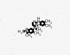 Cc1cc(C)c(Nc2nccc(N(C)c3cc4nn(C)c(C)c4cc3C)n2)cc1C